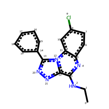 CCNc1nc2ccc(Cl)cc2n2c(-c3ccccc3)nnc12